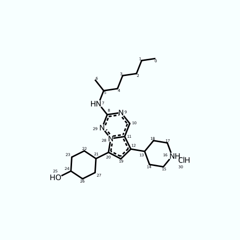 CCCCCC(C)Nc1ncc2c(C3CCNCC3)cc(C3CCC(O)CC3)n2n1.Cl